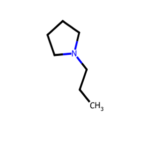 CCCN1CCCC1